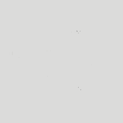 COc1cc(C=O)c([N+](=O)[O-])cc1OC(C)C(=O)O